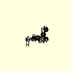 Cn1nccc1-c1cc(-c2cccnc2F)ncc1Oc1ccc(S(=O)(=O)CNC2NC=CS2)cc1C#N